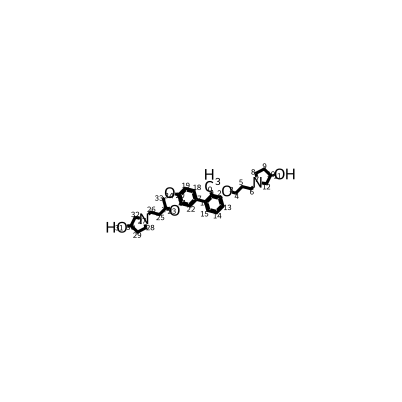 Cc1c(OCCCN2CC[C@@H](O)C2)cccc1-c1ccc2c(c1)OC(CCN1CCC(O)C1)CO2